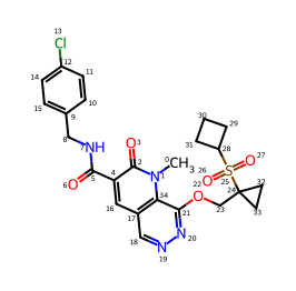 Cn1c(=O)c(C(=O)NCc2ccc(Cl)cc2)cc2cnnc(OCC3(S(=O)(=O)C4CCC4)CC3)c21